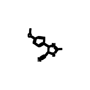 COc1ccc(C2N=C(C)SC2C#N)cc1